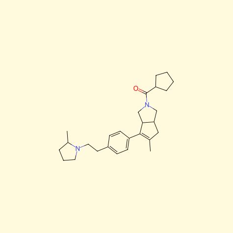 CC1=C(c2ccc(CCN3CCCC3C)cc2)C2CN(C(=O)C3CCCC3)CC2C1